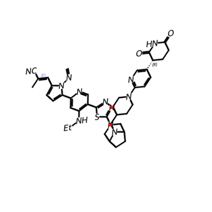 C=Nn1c(/C=C(\C)C#N)ccc1-c1cc(NCC)c(-c2nnc(N3CC4CCC(C3)N4CC3CCN(c4ccc([C@H]5CCC(=O)NC5=O)cn4)CC3)s2)cn1